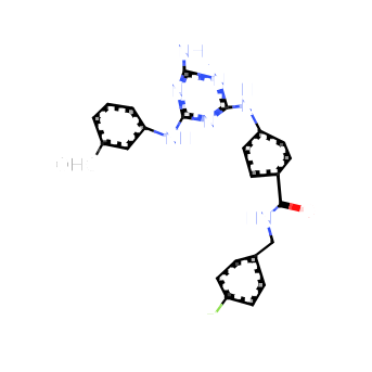 Nc1nc(Nc2ccc(C(=O)NCc3ccc(F)cc3)cc2)nc(Nc2cccc(C=O)c2)n1